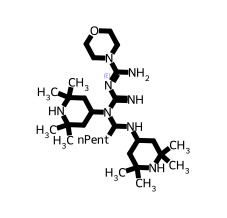 CCCCCC(NC1CC(C)(C)NC(C)(C)C1)N(C(=N)/N=C(\N)N1CCOCC1)C1CC(C)(C)NC(C)(C)C1